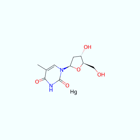 Cc1cn([C@H]2C[C@H](O)[C@@H](CO)O2)c(=O)[nH]c1=O.[Hg]